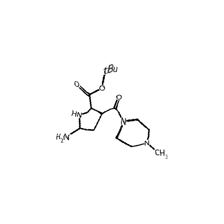 CN1CCN(C(=O)C2CC(N)NC2C(=O)OC(C)(C)C)CC1